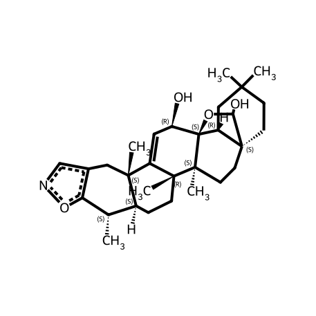 C[C@@H]1c2oncc2C[C@]2(C)C3=C[C@@H](O)[C@]45OC(O)[C@@]6(CCC(C)(C)C[C@H]64)CC[C@@]5(C)[C@]3(C)CC[C@@H]12